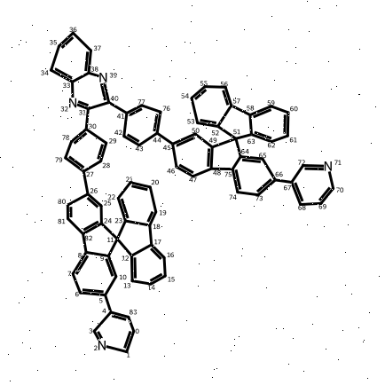 c1cncc(-c2ccc3c(c2)C2(c4ccccc4-c4ccccc42)c2cc(-c4ccc(-c5nc6ccccc6nc5-c5ccc(-c6ccc7c(c6)C6(c8ccccc8-c8ccccc86)c6cc(-c8cccnc8)ccc6-7)cc5)cc4)ccc2-3)c1